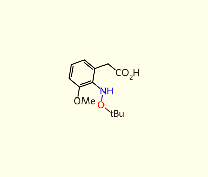 COc1cccc(CC(=O)O)c1NOC(C)(C)C